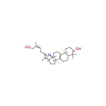 C/C(=C/CCC(C)[C@@H]1CC[C@]2(C)C3=C(CC[C@@]12N)[C@@]1(C)CC[C@H](O)C(C)(C)C1CC3)CO